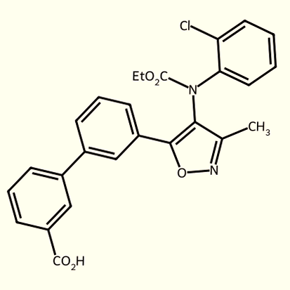 CCOC(=O)N(c1ccccc1Cl)c1c(C)noc1-c1cccc(-c2cccc(C(=O)O)c2)c1